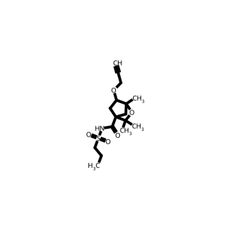 C#CCOC1CC2(C(=O)NS(=O)(=O)CCC)CC1(C)OC2(C)C